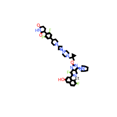 CCc1c(F)ccc2cc(O)cc(-c3ncc4c(N5CC6CCC(C5)N6)nc(OCC5(CN6CCN(N7CC(N8CCC(c9cc(F)c(C%10CCC(=O)NC%10=O)c(F)c9)CC8)C7)CC6)CC5)nc4c3F)c12